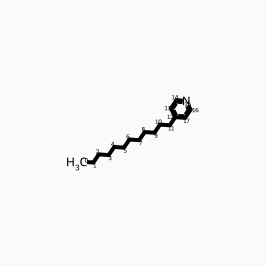 CCCCCCCCCCCCc1ccncc1